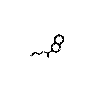 O=CCOC(=O)c1cnc2ccccc2c1